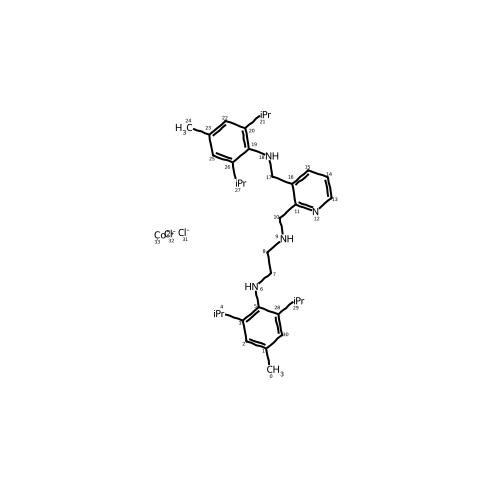 Cc1cc(C(C)C)c(NCCNCc2ncccc2CNc2c(C(C)C)cc(C)cc2C(C)C)c(C(C)C)c1.[Cl-].[Cl-].[Co+2]